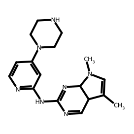 CC1=CN(C)C2N=C(Nc3cc(N4CCNCC4)ccn3)N=CC12